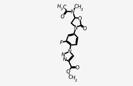 COC(=O)c1cn(-c2ccc(N3CC(N(C)C(C)=O)OC3=O)cc2F)nn1